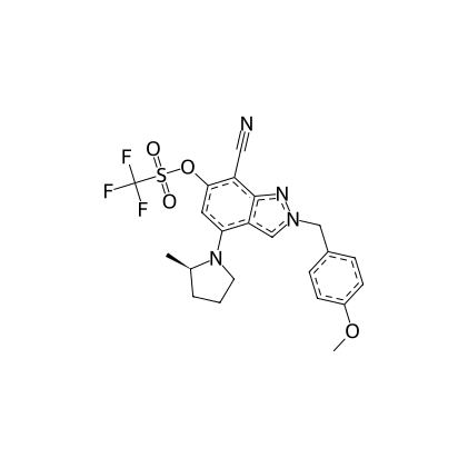 COc1ccc(Cn2cc3c(N4CCC[C@H]4C)cc(OS(=O)(=O)C(F)(F)F)c(C#N)c3n2)cc1